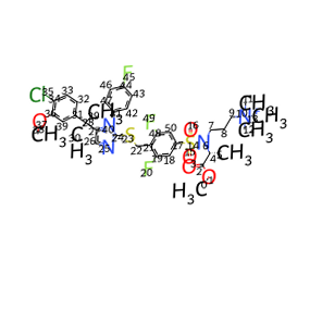 COC(=O)[C@@H](C)N(CCC[N+](C)(C)C)S(=O)(=O)c1cc(F)c(CSc2ncc(C(C)(C)c3ccc(Cl)c(OC)c3)n2-c2ccc(F)cc2)c(F)c1